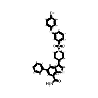 NC(=O)c1cc(-c2ccccc2)cc2c(C3CCN(S(=O)(=O)c4cccc(Oc5ccc(F)cc5)c4)CC3)c[nH]c12